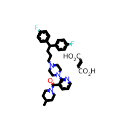 CC1CCN(C(=O)c2cccnc2N2CCN(CCCC(c3ccc(F)cc3)c3ccc(F)cc3)CC2)CC1.O=C(O)C=CC(=O)O